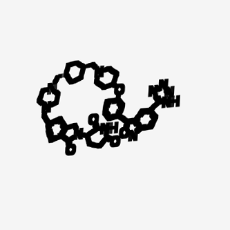 O=C1CCC(N2Cc3cc(CN4CCN(C[C@H]5CC[C@H](CN6CCC(Oc7cccc(-c8onc9ccc(-c%10nnn[nH]%10)cc89)c7)CC6)CC5)CC4)ccc3C2=O)C(=O)N1